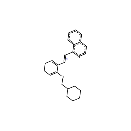 C1=C(/C=C/c2nccc3ccccc23)C(OCC2CCCCC2)=CCC1